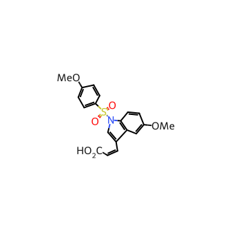 COc1ccc(S(=O)(=O)n2cc(/C=C\C(=O)O)c3cc(OC)ccc32)cc1